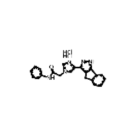 Cl.Cl.O=C(Cn1cnc(-c2n[nH]c3c2Cc2ccccc2-3)c1)Nc1ccccc1